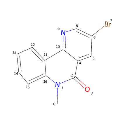 Cn1c(=O)c2cc(Br)cnc2c2ccccc21